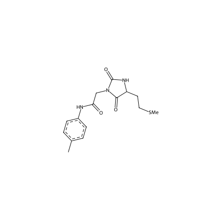 CSCCC1NC(=O)N(CC(=O)Nc2ccc(C)cc2)C1=O